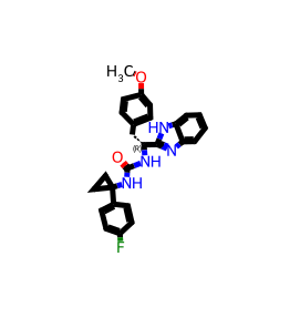 COc1ccc(C[C@@H](NC(=O)NC2(c3ccc(F)cc3)CC2)c2nc3ccccc3[nH]2)cc1